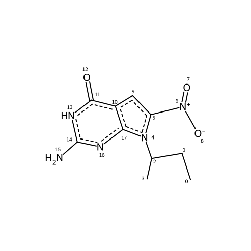 CCC(C)n1c([N+](=O)[O-])cc2c(=O)[nH]c(N)nc21